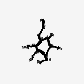 CCCc1c(F)c(F)c(SC)c(F)c1F